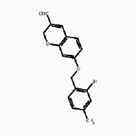 Cc1ccc(COc2ccc3c(c2)OCC(C=O)=C3)c(Br)c1